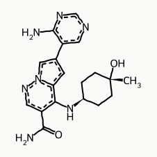 C[C@]1(O)CC[C@H](Nc2c(C(N)=O)cnn3cc(-c4cncnc4N)cc23)CC1